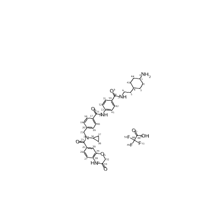 NC1CCC(CCNC(=O)c2ccc(NC(=O)c3ccc(CN(C(=O)c4ccc5c(c4)OCC(=O)N5)C4CC4)cc3)cc2)CC1.O=C(O)C(F)(F)F